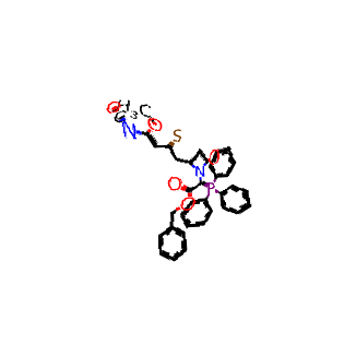 COC(=CC(=S)CC1CC(=O)N1C(C(=O)OCc1ccccc1)=P(c1ccccc1)(c1ccccc1)c1ccccc1)N=C=O